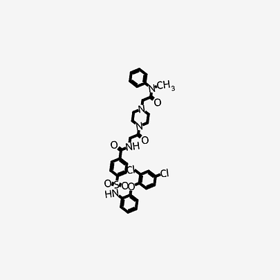 CN(C(=O)CN1CCN(C(=O)CNC(=O)c2ccc(S(=O)(=O)Nc3ccccc3Oc3ccc(Cl)cc3Cl)cc2)CC1)c1ccccc1